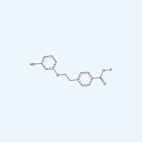 O=C(OF)c1ccc(CCOc2cccc(O)c2)cc1